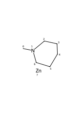 CN1CCCCC1.[Zn]